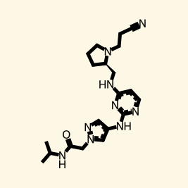 CC(C)NC(=O)Cn1cc(Nc2nccc(NC[C@H]3CCCN3CCC#N)n2)cn1